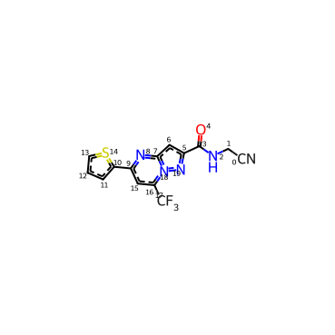 N#CCNC(=O)c1cc2nc(-c3cccs3)cc(C(F)(F)F)n2n1